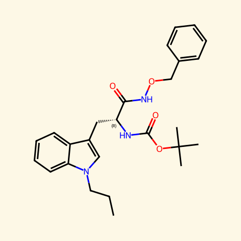 CCCn1cc(C[C@@H](NC(=O)OC(C)(C)C)C(=O)NOCc2ccccc2)c2ccccc21